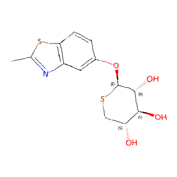 Cc1nc2cc(O[C@@H]3SC[C@@H](O)[C@H](O)[C@H]3O)ccc2s1